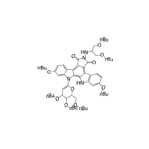 CCCCOCC(COCCCC)NN1C(=O)c2c(c3c4ccc(OCCCC)cc4n(C4=CC(OCCCC)C(OCCCC)C(COCCCC)O4)c3c3[nH]c4cc(OCCCC)ccc4c23)C1=O